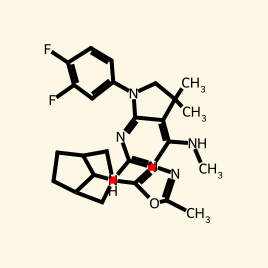 CNc1nc(NC2C3CCC2CN(c2nnc(C)o2)C3)nc2c1C(C)(C)CN2c1ccc(F)c(F)c1